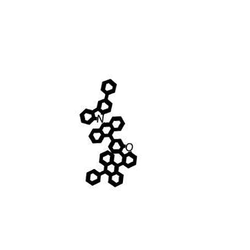 c1ccc(-c2ccc3c(c2)c2ccccc2n3-c2c3ccccc3c(-c3ccc4c(c3)oc3cccc(-c5c6ccccc6c(-c6ccccc6)c6ccccc56)c34)c3ccccc23)cc1